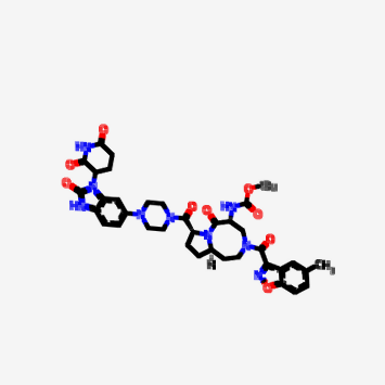 Cc1ccc2onc(C(=O)N3CC[C@H]4CC[C@@H](C(=O)N5CCN(c6ccc7[nH]c(=O)n(C8CCC(=O)NC8=O)c7c6)CC5)N4C(=O)[C@@H](NC(=O)OC(C)(C)C)C3)c2c1